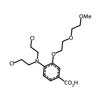 COCCOCCOc1cc(C(=O)O)ccc1N(CCCl)CCCl